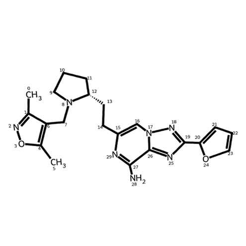 Cc1noc(C)c1CN1CCC[C@@H]1CCc1cn2nc(-c3ccco3)nc2c(N)n1